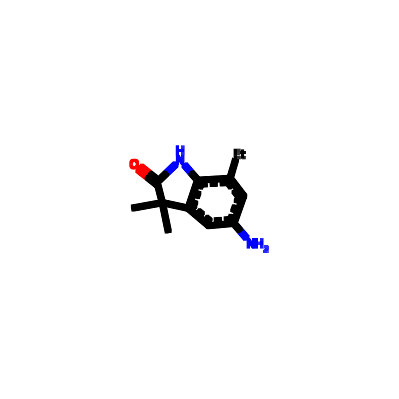 CCc1cc(N)cc2c1NC(=O)C2(C)C